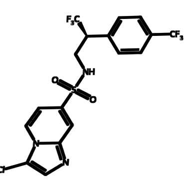 O=S(=O)(NC[C@H](c1ccc(C(F)(F)F)cc1)C(F)(F)F)c1ccn2c(Cl)cnc2c1